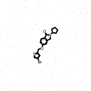 O=C1c2ccc(OCc3cc(Br)cs3)cc2CN1C1CCCC1